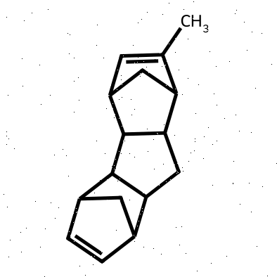 CC1=CC2CC1C1CC3C4C=CC(C4)C3C21